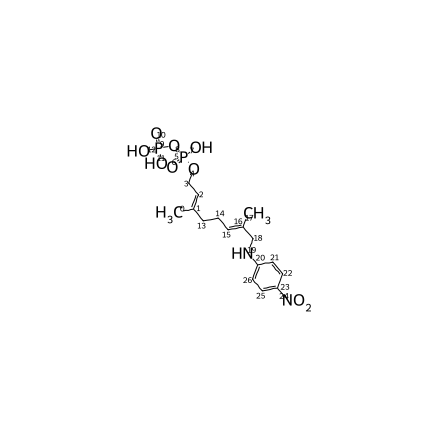 CC(=CCOP(=O)(O)OP(=O)(O)O)CCC=C(C)CNc1ccc([N+](=O)[O-])cc1